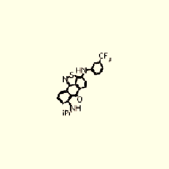 CC(C)Nc1cccc2c1C(=O)c1ccc(Nc3cccc(C(F)(F)F)c3)c3snc-2c13